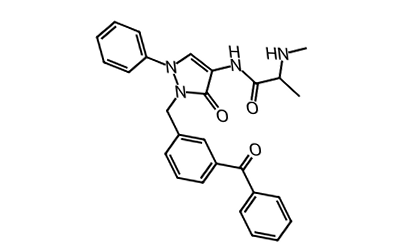 CNC(C)C(=O)Nc1cn(-c2ccccc2)n(Cc2cccc(C(=O)c3ccccc3)c2)c1=O